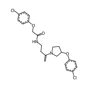 C=C(CCNC(=O)COc1ccc(Cl)cc1)N1CCC(Oc2ccc(Cl)cc2)C1